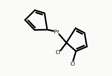 ClC1=CC=C[C]1(Cl)[Pt][CH]1C=CC=C1